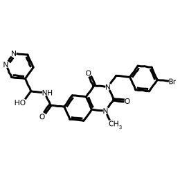 Cn1c(=O)n(Cc2ccc(Br)cc2)c(=O)c2cc(C(=O)NC(O)c3ccnnc3)ccc21